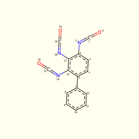 O=C=Nc1ccc(-c2ccccc2)c(N=C=O)c1N=C=O